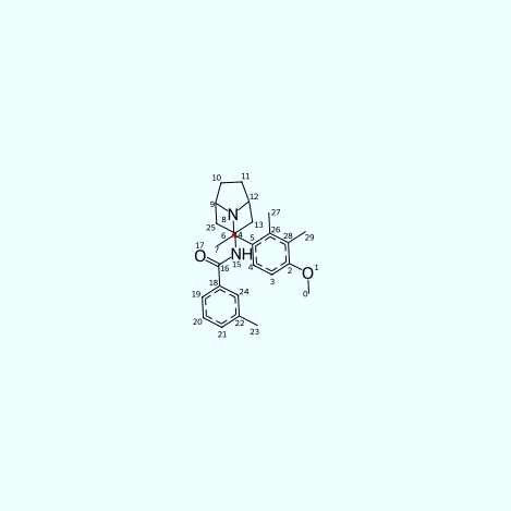 COc1ccc(C(C)N2C3CCC2CC(NC(=O)c2cccc(C)c2)C3)c(C)c1C